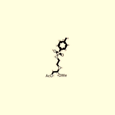 CO[C@H](COC(C)=O)OCCOS(=O)(=O)c1ccc(C)cc1